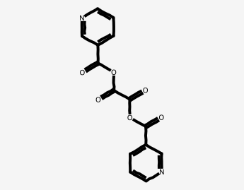 O=C(OC(=O)c1cccnc1)C(=O)OC(=O)c1cccnc1